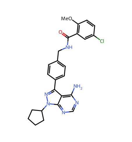 COc1ccc(Cl)cc1C(=O)NCc1ccc(-c2nn(C3CCCC3)c3ncnc(N)c23)cc1